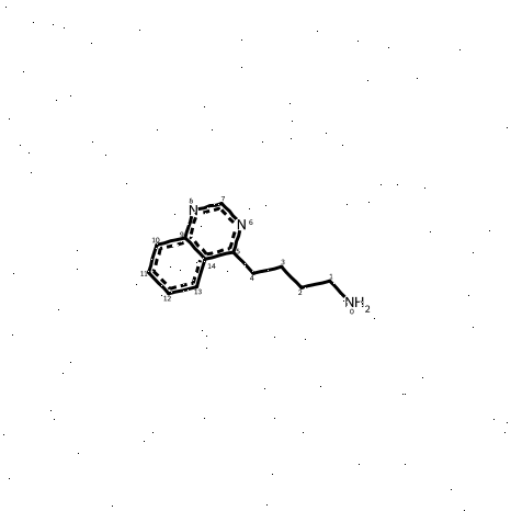 NCCCCc1ncnc2ccccc12